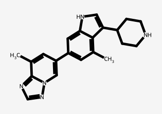 Cc1cc(-c2cc(C)c3ncnn3c2)cc2[nH]cc(C3CCNCC3)c12